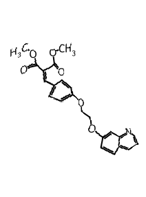 COC(=O)C(=Cc1ccc(OCCOc2ccc3cccnc3c2)cc1)C(=O)OC